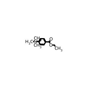 CCOC(=O)c1ccc([N+](C)(C)C)cc1